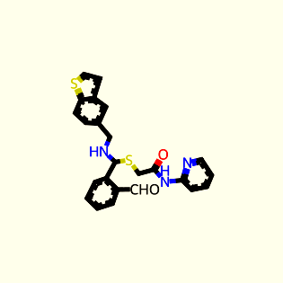 O=Cc1ccccc1C(NCc1ccc2sccc2c1)SCC(=O)Nc1ccccn1